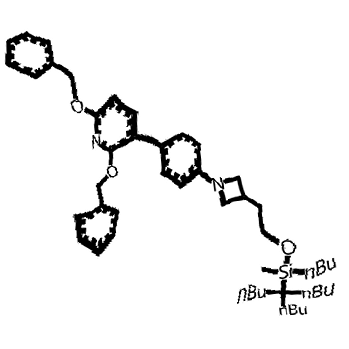 CCCCC(CCCC)(CCCC)[Si](C)(CCCC)OCCC1CN(c2ccc(-c3ccc(OCc4ccccc4)nc3OCc3ccccc3)cc2)C1